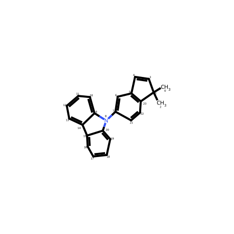 CC1(C)C=Cc2cc(-n3c4ccccc4c4ccccc43)ccc21